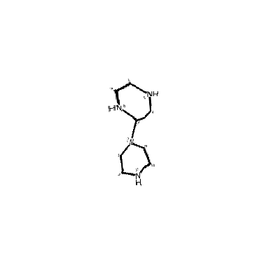 C1CN(C2CNCCN2)CCN1